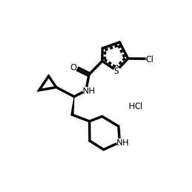 Cl.O=C(N[C@@H](CC1CCNCC1)C1CC1)c1ccc(Cl)s1